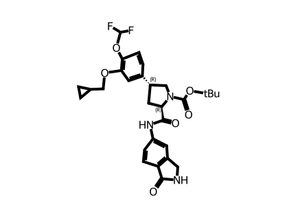 CC(C)(C)OC(=O)N1C[C@@H](c2ccc(OC(F)F)c(OCC3CC3)c2)C[C@@H]1C(=O)Nc1ccc2c(c1)CNC2=O